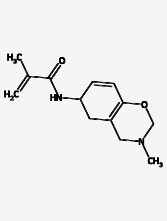 C=C(C)C(=O)NC1C=CC2=C(C1)CN(C)CO2